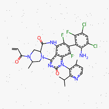 C=CC(=O)N1CC2C(=O)Nc3c(F)c(-c4c(N)c(Cl)cc(Cl)c4F)c(F)c4c3c(nc(=O)n4-c3c(C)ccnc3C(C)C)N2CC1C